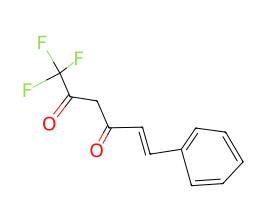 O=C(C=Cc1ccccc1)CC(=O)C(F)(F)F